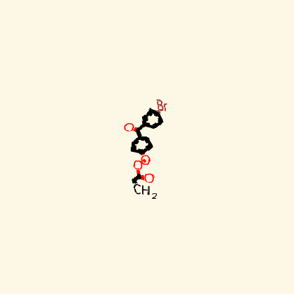 C=CC(=O)OOc1ccc(C(=O)c2ccc(Br)cc2)cc1